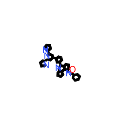 C1=CCC(c2nc3c(ccc4c(-c5cccc(-c6cc(-c7ccccn7)nc(-c7ccccn7)c6)c5)nc5ccccc5c43)o2)C=C1